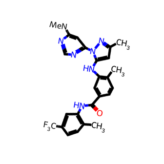 CNc1cc(-n2nc(C)cc2Nc2cc(C(=O)Nc3cc(C(F)(F)F)ccc3C)ccc2C)ncn1